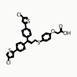 O=C(O)COc1ccc(SCC=C(c2ccc(-c3cc(Cl)cs3)cc2)c2ccc(-c3cc(Cl)cs3)cc2)cc1